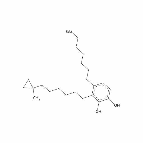 CC(C)(C)CCCCCCc1ccc(O)c(O)c1CCCCCCC1(C)CC1